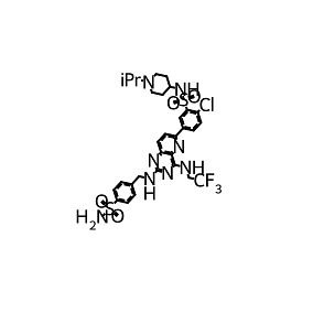 CC(C)N1CCC(NS(=O)(=O)c2cc(-c3ccc4nc(NCc5ccc(S(N)(=O)=O)cc5)nc(NCC(F)(F)F)c4n3)ccc2Cl)CC1